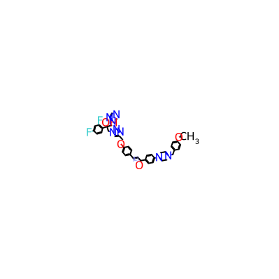 COc1ccc(CN2CCN(c3ccc(C(=O)/C=C/c4ccc(OCc5cn(CC(O)(Cn6cncn6)c6ccc(F)cc6F)nn5)cc4)cc3)CC2)cc1